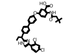 CCC(c1ccc(-c2ccc(Oc3ccc(NC(=O)CC(C)(C)C)c(C(=O)O)c3)cc2)cc1)c1nc(-c2ccc(Cl)cc2Cl)c[nH]1